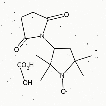 CC1(C)CC(N2C(=O)CCC2=O)C(C)(C)N1[O].O=C(O)O